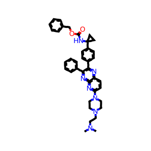 CN(C)CCN1CCN(c2ccc3nc(-c4ccc(C5(NC(=O)OCc6ccccc6)CC5)cc4)c(-c4ccccc4)nc3n2)CC1